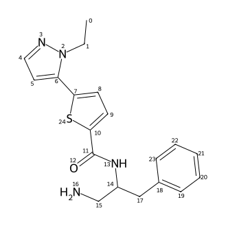 CCn1nccc1-c1ccc(C(=O)NC(CN)Cc2ccccc2)s1